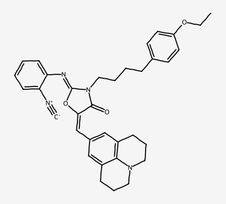 [C-]#[N+]c1ccccc1/N=C1\O/C(=C/c2cc3c4c(c2)CCCN4CCC3)C(=O)N1CCCCc1ccc(OCC)cc1